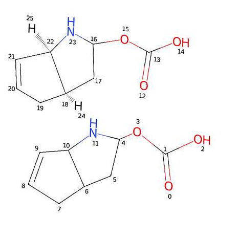 O=C(O)OC1CC2CC=CC2N1.O=C(O)OC1C[C@H]2CC=C[C@H]2N1